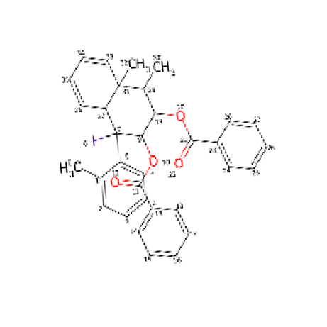 Cc1ccccc1C1(I)C(OC(=O)c2ccccc2)C(OC(=O)c2ccccc2)C(C)C2(C)C=CC=CC21